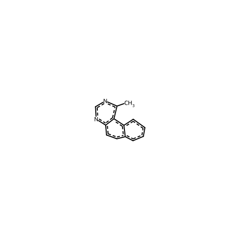 Cc1ncnc2ccc3ccccc3c12